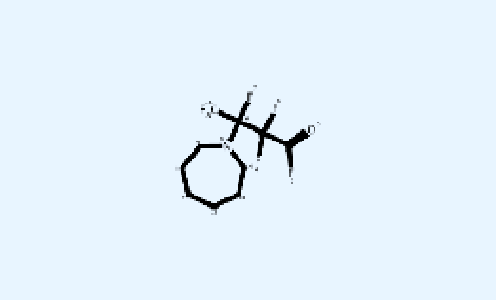 O=C(F)C(F)(F)C(F)(N1CCCCCC1)C(F)(F)F